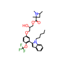 CCCCCn1c(-c2cc(OCC(O)COC(=O)C3(C)CC(C)N3C)ccc2OC(F)(F)F)cc2ccccc21